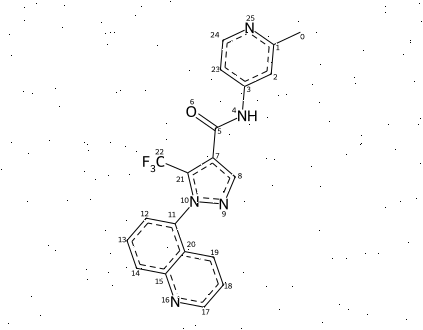 Cc1cc(NC(=O)c2cnn(-c3cccc4ncccc34)c2C(F)(F)F)ccn1